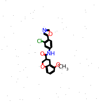 COc1cccc2c1CC(C(=O)Nc1ccc(-c3cnco3)c(Cl)c1)CO2